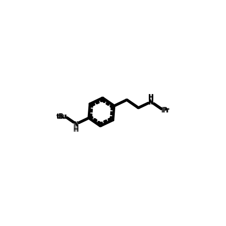 CC(C)NCCc1ccc(NC(C)(C)C)cc1